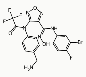 NCc1ccc(N(C(=O)C(F)(F)F)c2nonc2C(=NO)Nc2ccc(F)c(Br)c2)cc1